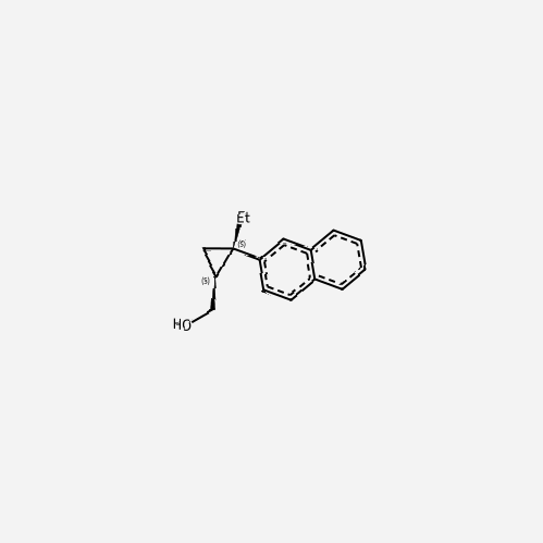 CC[C@]1(c2ccc3ccccc3c2)C[C@@H]1CO